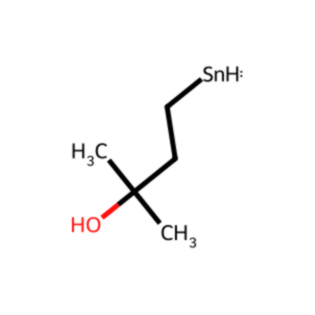 CC(C)(O)C[CH2][SnH]